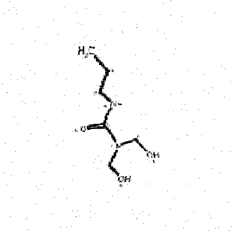 CCCNC(=O)N(CO)CO